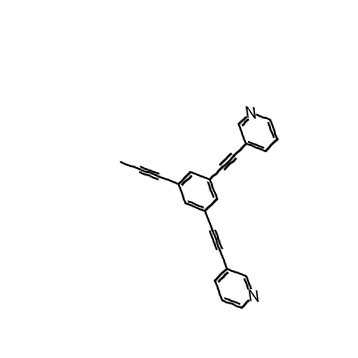 CC#Cc1cc(C#Cc2cccnc2)cc(C#Cc2cccnc2)c1